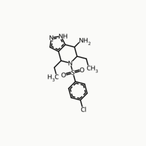 CCC1c2cn[nH]c2C(N)C(CC)N1S(=O)(=O)c1ccc(Cl)cc1